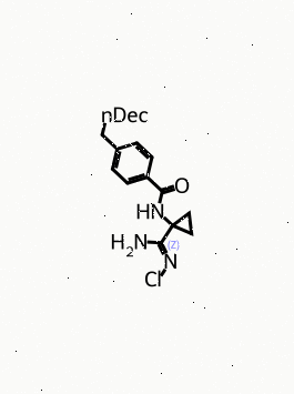 CCCCCCCCCCCc1ccc(C(=O)NC2(/C(N)=N/Cl)CC2)cc1